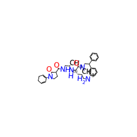 CC(CNC(=O)C1CCN(C2=CCCC=C2)C1=O)N[C@@H](CCCN)C(=O)N(C)CC(c1ccccc1)c1ccccc1